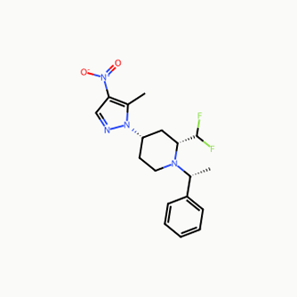 Cc1c([N+](=O)[O-])cnn1[C@H]1CCN([C@H](C)c2ccccc2)[C@@H](C(F)F)C1